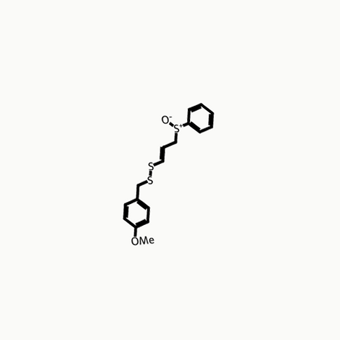 COc1ccc(CSSC=CC[S+]([O-])c2ccccc2)cc1